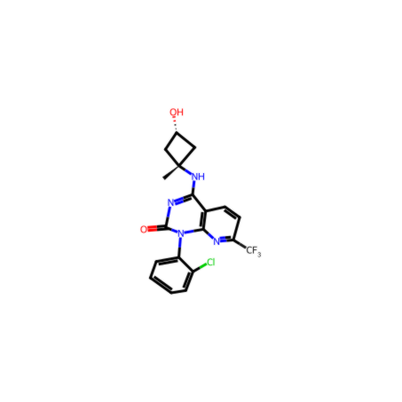 C[C@]1(Nc2nc(=O)n(-c3ccccc3Cl)c3nc(C(F)(F)F)ccc23)C[C@@H](O)C1